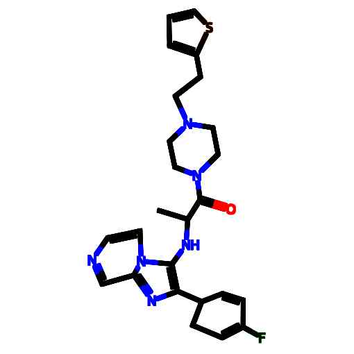 CC(Nc1c(C2C=CC(F)=CC2)nc2cnccn12)C(=O)N1CCN(CCc2cccs2)CC1